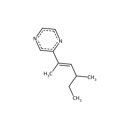 CCC(C)C=C(C)c1cnccn1